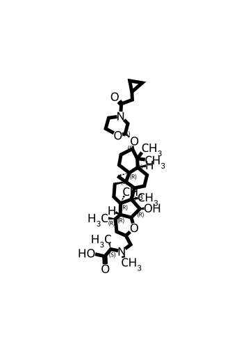 C[C@@H]1CC(CN(C)[C@@H](C)C(=O)O)OC2[C@H]1[C@@]1(C)CC[C@@]34C[C@@]35CC[C@H](O[C@H]3CN(C(=O)CC6CC6)CCO3)C(C)(C)[C@@H]5CCC4[C@]1(C)[C@H]2O